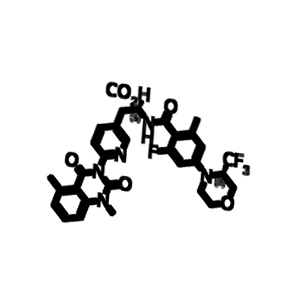 Cc1cc(N2CCOC[C@@H]2C(F)(F)F)cc(F)c1C(=O)N[C@@H](Cc1ccc(-n2c(=O)c3c(C)cccc3n(C)c2=O)nc1)C(=O)O